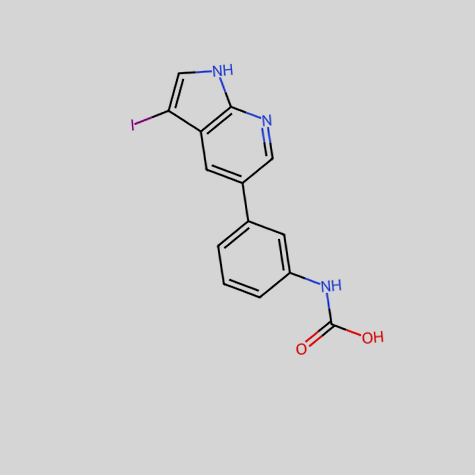 O=C(O)Nc1cccc(-c2cnc3[nH]cc(I)c3c2)c1